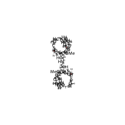 C=C1C[C@@H]2CC[C@@]34C[C@@H]5O[C@@H]6C(O[C@H]7CCC(CC(=O)C[C@@H]8[C@@H](OC)[C@@H](C[C@H](O)CCNC[C@@H](O)C[C@H]9O[C@H]%10CC%11O[C@@H](CCC%12O[C@@H](CC[C@@]%13%14C[C@@H]%15O[C@@H]%16C(O[C@H]%17CCC(CC(=O)C[C@@H]%10[C@H]9OC)OC%17[C@@H]%16O%13)[C@@H]%15O%14)CC%12=C)C[C@@H](C)C%11=C)O[C@H]8CC8O[C@@H](CCC1O2)C[C@@H](C)C8=C)OC7[C@@H]6O3)[C@@H]5O4